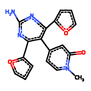 Cn1ccc(-c2c(-c3ccco3)nc(N)nc2-c2ccco2)cc1=O